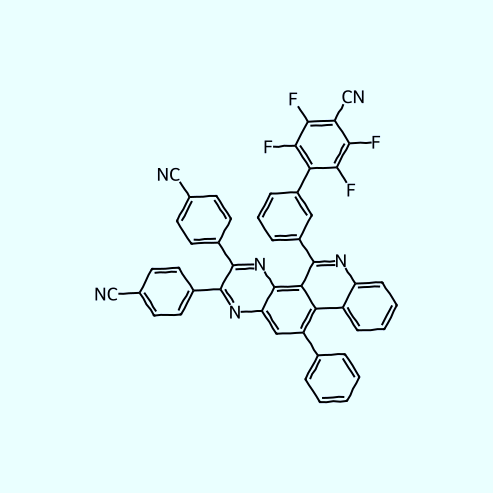 N#Cc1ccc(-c2nc3cc(-c4ccccc4)c4c5ccccc5nc(-c5cccc(-c6c(F)c(F)c(C#N)c(F)c6F)c5)c4c3nc2-c2ccc(C#N)cc2)cc1